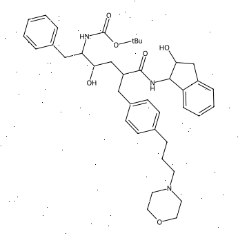 CC(C)(C)OC(=O)NC(Cc1ccccc1)C(O)CC(Cc1ccc(CCCN2CCOCC2)cc1)C(=O)NC1c2ccccc2CC1O